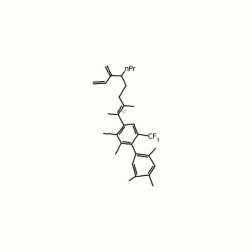 C=CC(=C)C(CCC)CC/C(C)=C(\C)c1cc(C(F)(F)F)c(-c2cc(C)c(C)cc2C)c(C)c1C